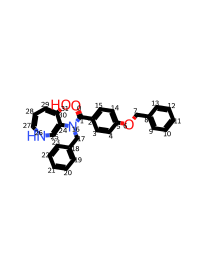 O=C(c1ccc(OCc2ccccc2)cc1)N(Cc1ccccc1)C1=CNC=CC=C1O